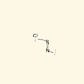 [C].[C]N=N[C]